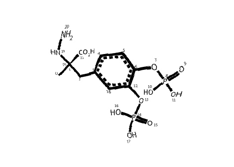 C[C@@](Cc1ccc(OP(=O)(O)O)c(OP(=O)(O)O)c1)(NN)C(=O)O